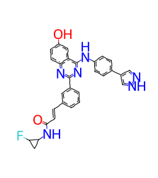 O=C(/C=C/c1cccc(-c2nc(Nc3ccc(-c4cn[nH]c4)cc3)c3cc(O)ccc3n2)c1)NC1CC1F